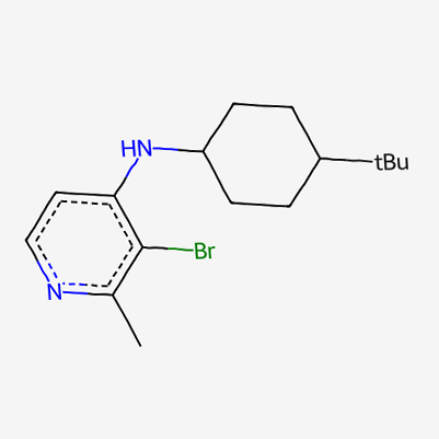 Cc1nccc(NC2CCC(C(C)(C)C)CC2)c1Br